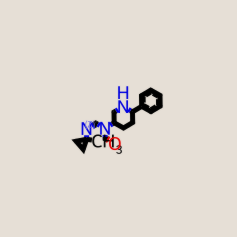 CC1(/N=C\N(C=O)C2CCC(c3ccccc3)NC2)CC1